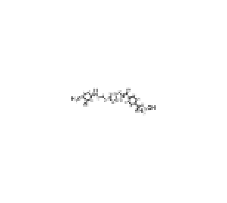 Cc1ccc(NCCCN2CC3CN(C(=O)c4ccc(N(C)CCO)cc4)CC3C2)cc1Cl